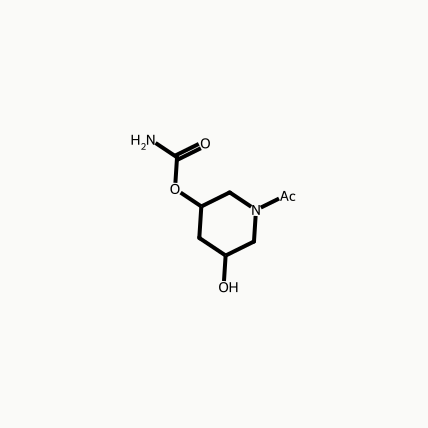 CC(=O)N1CC(O)CC(OC(N)=O)C1